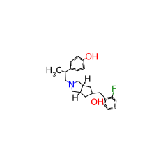 CC(CN1C[C@@H]2C[C@@](O)(Cc3ccccc3F)C[C@@H]2C1)c1ccc(O)cc1